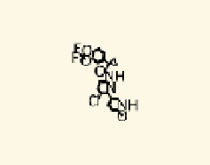 O=C(Nc1ccc(Cl)c(-c2ccc(=O)[nH]c2)n1)C1(c2ccc3c(c2)OC(F)(F)O3)CC1